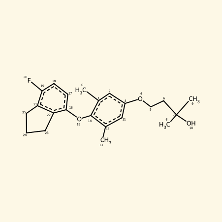 Cc1cc(OCCC(C)(C)O)cc(C)c1Oc1ccc(F)c2c1CCC2